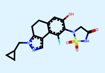 O=C1CN(c2c(O)cc3c(c2F)-c2cnn(CC4CC4)c2CC3)S(=O)(=O)N1